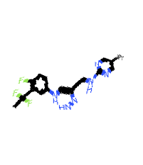 CC(C)c1cnc(NC/C(=C/Nc2ccc(F)c(C(C)(F)F)c2)N=N)nc1